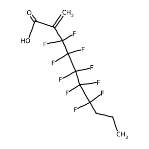 C=C(C(=O)O)C(F)(F)C(F)(F)C(F)(F)C(F)(F)C(F)(F)CCC